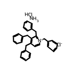 Cl.N.[Cl-].c1ccc(Cc2cc[n+](Cc3ccccc3)c(Cc3ccccc3)c2Cc2ccccc2)cc1